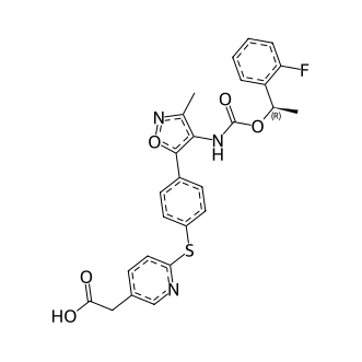 Cc1noc(-c2ccc(Sc3ccc(CC(=O)O)cn3)cc2)c1NC(=O)O[C@H](C)c1ccccc1F